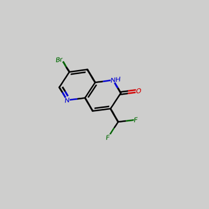 O=c1[nH]c2cc(Br)cnc2cc1C(F)F